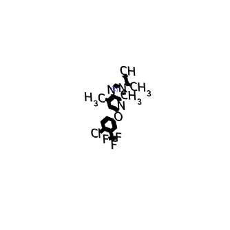 C#CC(C)N(C)/C=N\c1cnc(Oc2ccc(Cl)c(C(F)(F)F)c2)cc1C